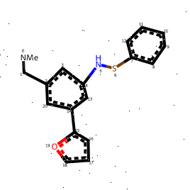 CNCc1cc(NSc2ccccc2)cc(-c2ccco2)c1